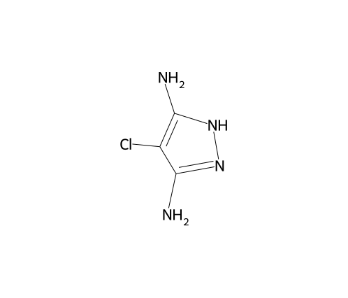 Nc1n[nH]c(N)c1Cl